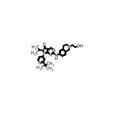 CC(C)n1c(=O)c2cnc(Nc3ccc4c(c3)CCN(CCO)C4)nc2n1-c1ccnc(C(C)(C)C)c1